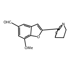 COc1cc(C=O)cc2cc(C3=CN4CCC3CC4)oc12